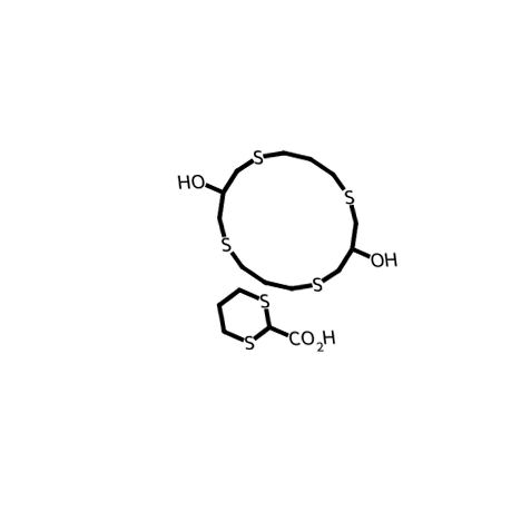 O=C(O)C1SCCCS1.OC1CSCCCSCC(O)CSCCCSC1